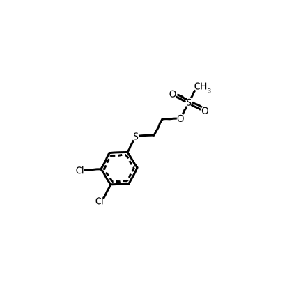 CS(=O)(=O)OCCSc1ccc(Cl)c(Cl)c1